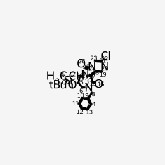 CC(C)(C)[Si](C)(C)OC1CN(Cc2ccccc2)C(=O)c2c3cnc(Cl)cn3c(=O)n2C1